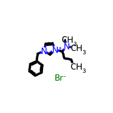 CCCC(N(C)C)[n+]1ccn(Cc2ccccc2)c1.[Br-]